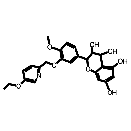 CCOc1ccc(COc2cc(C3Oc4cc(O)cc(O)c4C(O)C3O)ccc2OC)nc1